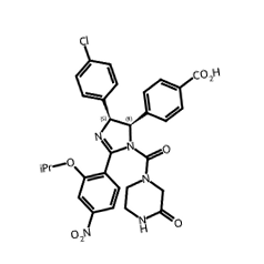 CC(C)Oc1cc([N+](=O)[O-])ccc1C1=N[C@@H](c2ccc(Cl)cc2)[C@@H](c2ccc(C(=O)O)cc2)N1C(=O)N1CCNC(=O)C1